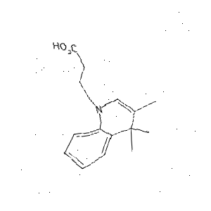 CC1=CN(CCC(=O)O)c2ccccc2C1(C)C